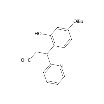 CC(C)COc1ccc(C(CC=O)c2ccccn2)c(O)c1